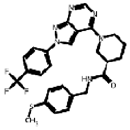 CSc1ccc(CNC(=O)[C@@H]2CCCN(c3ncnc4nn(-c5ccc(C(F)(F)F)cc5)cc34)C2)cc1